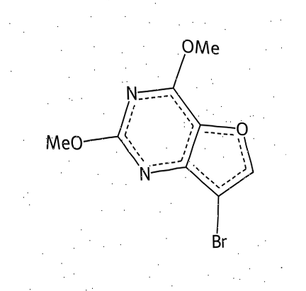 COc1nc(OC)c2occ(Br)c2n1